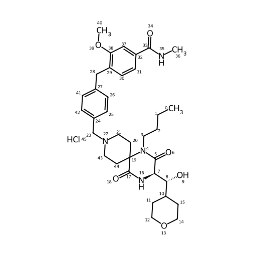 CCCCN1C(=O)[C@@H]([C@H](O)C2CCOCC2)NC(=O)C12CCN(Cc1ccc(Cc3ccc(C(=O)NC)cc3OC)cc1)CC2.Cl